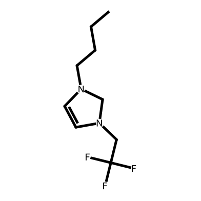 CCCCN1C=CN(CC(F)(F)F)C1